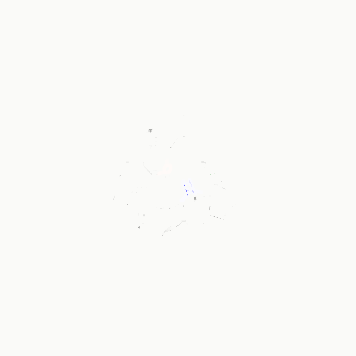 CC1(C)c2cccc(Nc3ccccc3Cl)c2-c2c1ccc1c2oc2ccccc21